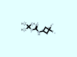 CC(C)(C)OC(=O)NC1CC(F)(F)C1